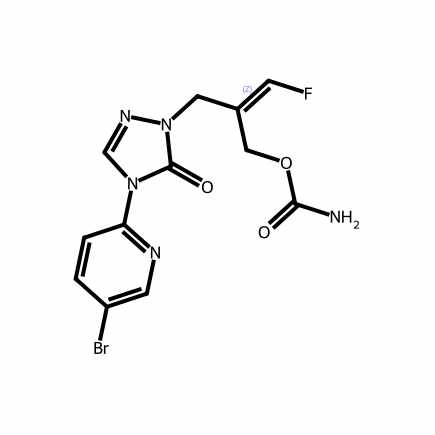 NC(=O)OC/C(=C\F)Cn1ncn(-c2ccc(Br)cn2)c1=O